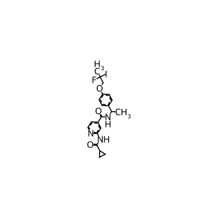 CC(NC(=O)c1ccnc(NC(=O)C2CC2)c1)c1ccc(OCC(C)(F)I)cc1